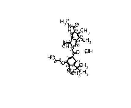 C/N=c1\n(CC(=O)c2cc(OCCO)c(OC)c(C(C)(C)C)c2)nc2c(C)c(C)c(C(=O)NC)nn12.Cl